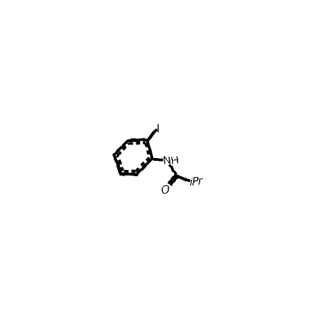 CC(C)C(=O)Nc1ccccc1I